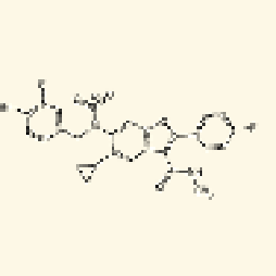 CNC(=O)c1c(-c2ccc(F)cc2)oc2cc(N(Cc3ccc(Br)c(F)c3)[SH](=O)=O)c(C3CC3)cc12